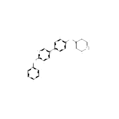 c1ccc(Oc2ccc(-c3ccc(OC4CCNCC4)cc3)cn2)cc1